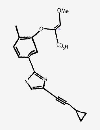 CO/C=C(\Oc1cc(-c2nc(C#CC3CC3)cs2)ccc1C)C(=O)O